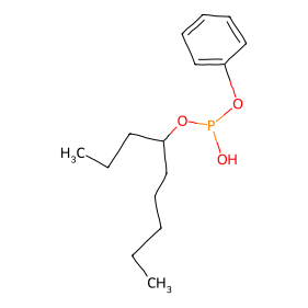 CCCCCC(CCC)OP(O)Oc1ccccc1